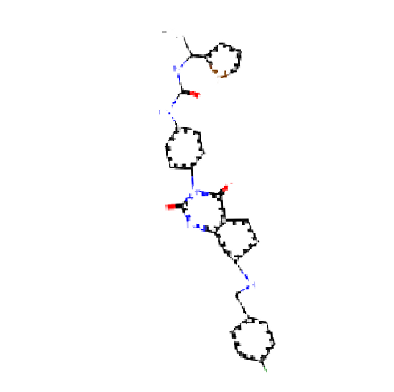 O=C(Nc1ccc(-n2c(=O)[nH]c3cc(NCc4ccc(F)cc4)ccc3c2=O)cc1)NC(C(=O)O)c1cccs1